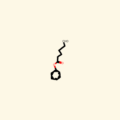 O=CCCCCC(=O)Oc1ccccc1